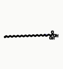 C=CCCCCCCCCCCCCCCCCCCC/C=C/CC(O)C(=O)O